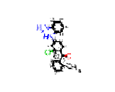 Cc1ccccc1C(=O)C1C=CC(Nc2ccccc2N)=CC1(C)Cl